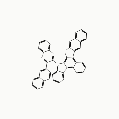 c1ccc2cc(-c3nc4ccccc4nc3-n3c4ccccc4c4c5ccccc5c5c6cc7ccccc7cc6sc5c43)ccc2c1